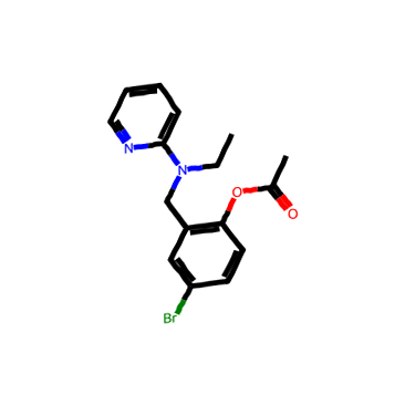 CCN(Cc1cc(Br)ccc1OC(C)=O)c1ccccn1